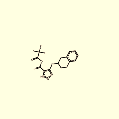 O=C(OC(=O)C(F)(F)F)c1[nH]nnc1OC1CCc2ccccc2C1